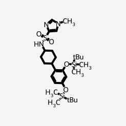 Cn1cnc(S(=O)(=O)NC2CCC(c3ccc(O[Si](C)(C)C(C)(C)C)cc3O[Si](C)(C)C(C)(C)C)CC2)c1